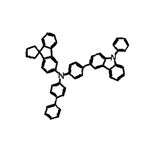 c1ccc(-c2ccc(N(c3ccc(-c4ccc5c(c4)c4ccccc4n5-c4ccccc4)cc3)c3ccc4c(c3)-c3ccccc3C43CCCC3)cc2)cc1